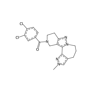 Cn1cc2c(n1)-c1c3c(nn1CCC2)CCN(C(=O)c1ccc(Cl)c(Cl)c1)C3